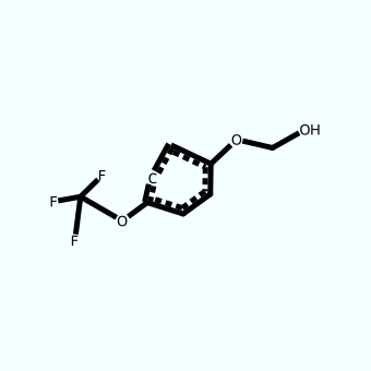 OCOc1ccc(OC(F)(F)F)cc1